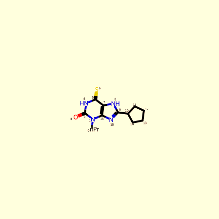 CCCn1c(=O)[nH]c(=S)c2[nH]c(C3CCCC3)nc21